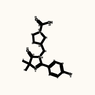 CC1(C)N=C(c2ccc(Br)cc2)N(CC2CCN(C(=O)O)C2)C1=O